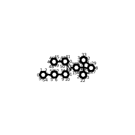 c1ccc(-c2ccc(-c3cccc(N(c4ccc(C5(c6ccccc6)c6ccccc6-c6ccccc65)cc4)c4cccc(-c5ccccc5)c4)c3)cc2)cc1